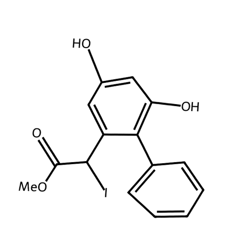 COC(=O)C(I)c1cc(O)cc(O)c1-c1ccccc1